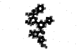 C=C(O/C(=N\C)C(C)(N)Cc1ccccc1)c1cc(C(=O)N2CC(F)(F)C[C@@H]2c2nc(C)cs2)cc(-c2ncco2)c1